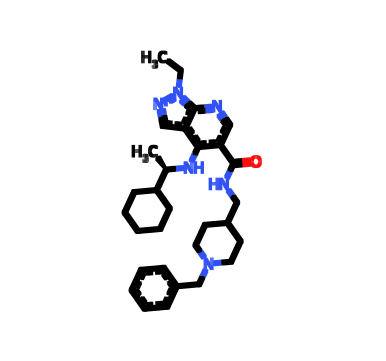 CCn1ncc2c(N[C@H](C)C3CCCCC3)c(C(=O)NCC3CCN(Cc4ccccc4)CC3)cnc21